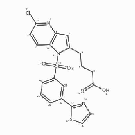 O=C(O)CCCc1cc2nc(Cl)ccc2n1S(=O)(=O)c1cccc(-c2nccs2)c1